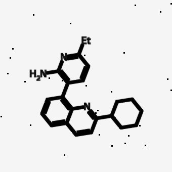 CCc1ccc(-c2cccc3ccc(C4CCCCC4)nc23)c(N)n1